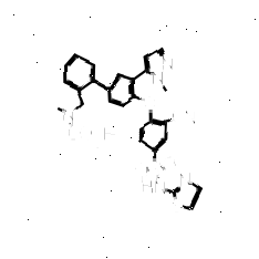 CN(Cc1ccccc1-c1ccc(Oc2ccc(S(=O)(=O)Nc3nccs3)cc2C#N)c(-c2ccnn2C)c1)C(=O)O